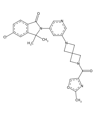 Cc1nc(C(=O)N2CC3(C2)CN(c2cncc(N4C(=O)c5ccc(Cl)cc5C4(C)C)c2)C3)co1